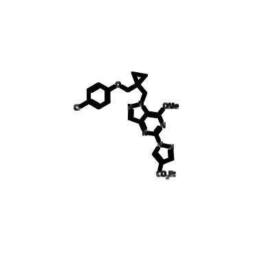 CCOC(=O)c1cnn(-c2nc(OC)c3c(cnn3CC3(COc4ccc(Cl)cc4)CC3)n2)c1